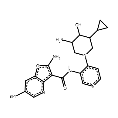 CCCc1cnc2c(C(=O)Nc3cnccc3N3CC(N)C(O)C(C4CC4)C3)c(N)oc2c1